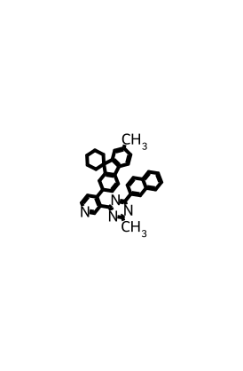 Cc1ccc2c(c1)C1(CCCCC1)C1=C2C=CC(c2ccncc2-c2nc(C)nc(-c3ccc4ccccc4c3)n2)C1